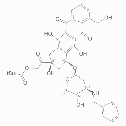 C[C@@H]1O[C@@H](O[C@H]2C[C@](O)(C(=O)COC(=O)C(C)(C)C)Cc3c(O)c4c(c(O)c32)C(=O)c2c(CO)cccc2C4=O)C[C@@H](NCc2ccccc2)[C@@H]1O